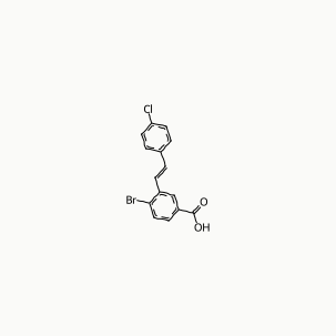 O=C(O)c1ccc(Br)c(C=Cc2ccc(Cl)cc2)c1